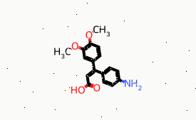 COc1ccc(/C(=C/C(=O)O)c2ccc(N)cc2)cc1OC